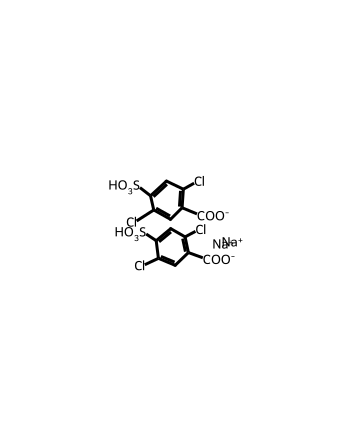 O=C([O-])c1cc(Cl)c(S(=O)(=O)O)cc1Cl.O=C([O-])c1cc(Cl)c(S(=O)(=O)O)cc1Cl.[Na+].[Na+]